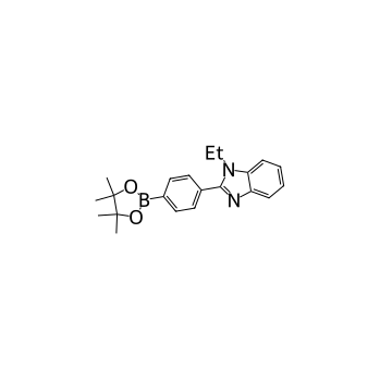 CCn1c(-c2ccc(B3OC(C)(C)C(C)(C)O3)cc2)nc2ccccc21